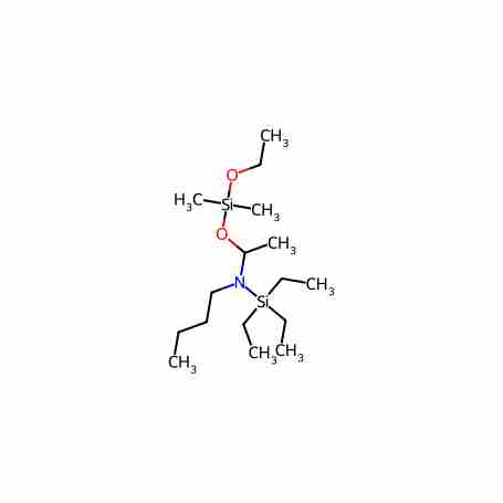 CCCCN(C(C)O[Si](C)(C)OCC)[Si](CC)(CC)CC